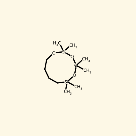 C[Si]1(C)CCCCO[Si](C)(C)O[Si](C)(C)O1